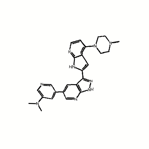 CN1CCN(c2ccnc3[nH]c(-c4n[nH]c5ncc(-c6cncc(N(C)C)c6)cc45)cc23)CC1